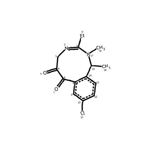 CC/C1=N/CC(=O)C(=O)c2cc(Cl)ccc2C(C)N1C